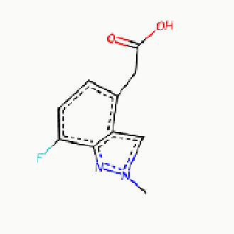 Cn1cc2c(CC(=O)O)ccc(F)c2n1